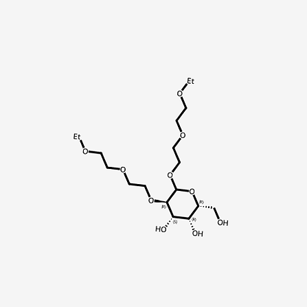 CCOCCOCCOC1O[C@H](CO)[C@H](O)[C@H](O)[C@H]1OCCOCCOCC